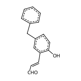 O=CC=Cc1cc(Cc2ccccc2)ccc1O